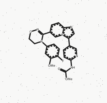 COC(=O)Nc1ccc(-c2cnc3ccc(C4=NOCCN4c4ccc(F)c(OC)c4)cn23)cn1